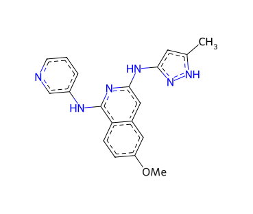 COc1ccc2c(Nc3cccnc3)nc(Nc3cc(C)[nH]n3)cc2c1